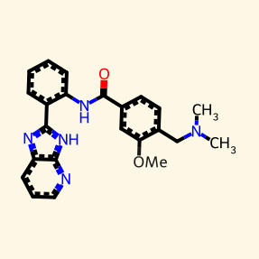 COc1cc(C(=O)Nc2ccccc2-c2nc3cccnc3[nH]2)ccc1CN(C)C